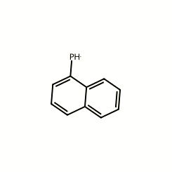 [PH]c1cccc2ccccc12